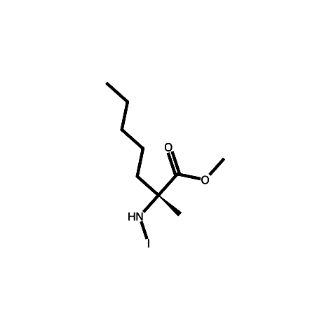 CCCCC[C@@](C)(NI)C(=O)OC